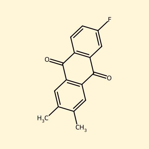 Cc1cc2c(cc1C)C(=O)c1cc(F)ccc1C2=O